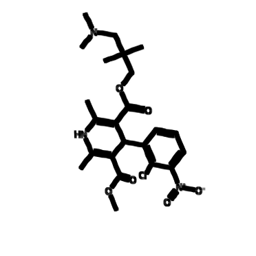 COC(=O)C1=C(C)NC(C)=C(C(=O)OCC(C)(C)CN(C)C)C1c1cccc([N+](=O)[O-])c1Cl